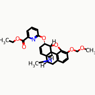 CCOC(=O)c1cccc(O[C@H]2C=C[C@H]3[C@H]4Cc5ccc(OCOC)c6c5[C@@]3(CCN4C)[C@H]2O6)n1